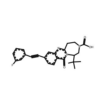 CC(C)(C)C1CN(C(=O)O)CCc2nc3cc(C#Cc4cccc(F)c4)ccc3c(=O)n21